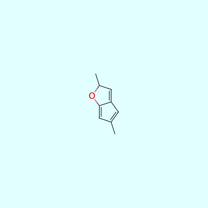 CC1=CC2=CC(C)OC2=C1